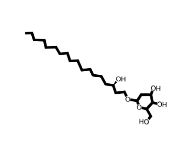 CCCCCCCCCCCCCCC[C@@H](O)CCOC1CC(O)C(O)C(CO)O1